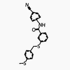 CSc1ccc(CSc2cccc(C(=O)Nc3ccc(C#N)cc3)c2)cc1